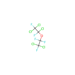 FC(Cl)(Cl)C(F)(F)OC(F)(Cl)C(F)(Cl)Cl